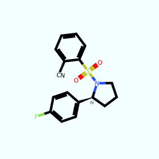 N#Cc1ccccc1S(=O)(=O)N1CCC[C@H]1c1ccc(F)cc1